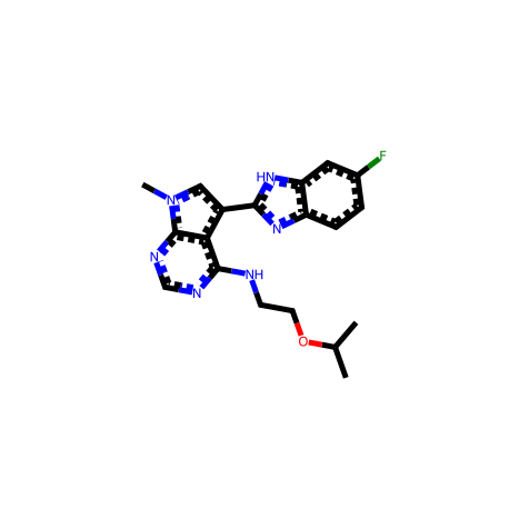 CC(C)OCCNc1ncnc2c1c(-c1nc3ccc(F)cc3[nH]1)cn2C